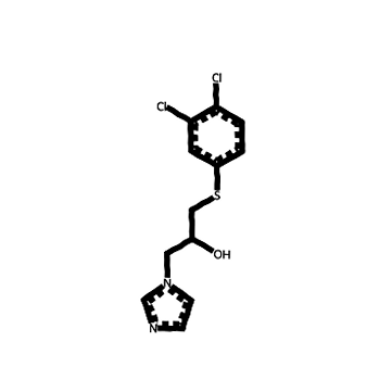 OC(CSc1ccc(Cl)c(Cl)c1)Cn1ccnc1